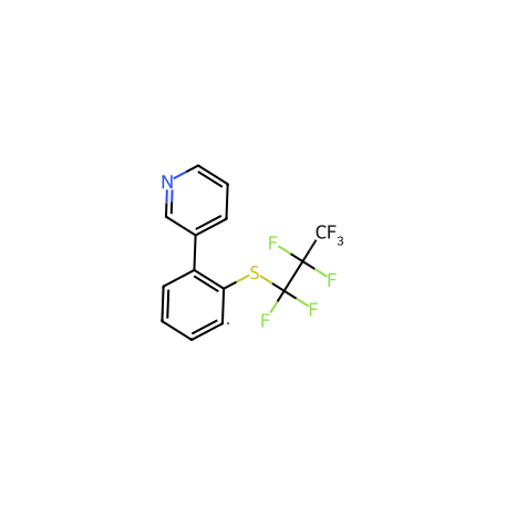 FC(F)(F)C(F)(F)C(F)(F)Sc1[c]cccc1-c1cccnc1